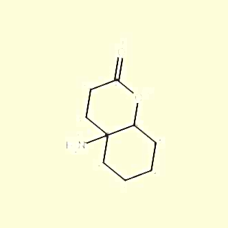 NC12CCCCC1OC(=O)CC2